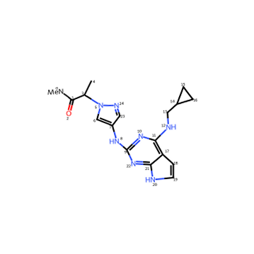 CNC(=O)C(C)n1cc(Nc2nc(NCC3CC3)c3cc[nH]c3n2)cn1